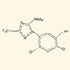 CCc1cc(Cl)c(-n2nc(C(F)(F)F)nc2NC)cc1S